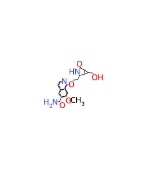 COc1cc2c(OCCC3NC(=O)C4C(CO)C34)nccc2cc1C(N)=O